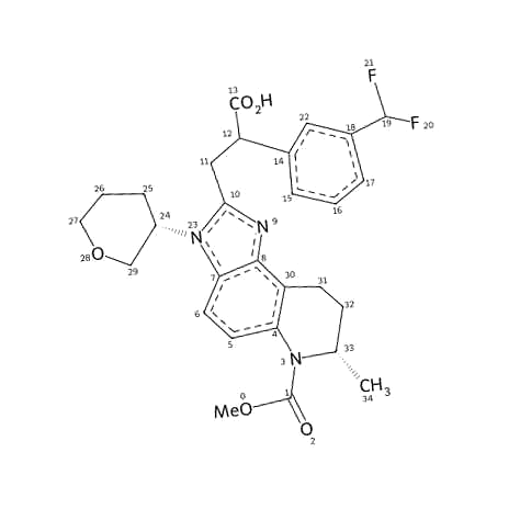 COC(=O)N1c2ccc3c(nc(CC(C(=O)O)c4cccc(C(F)F)c4)n3[C@H]3CCCOC3)c2CC[C@@H]1C